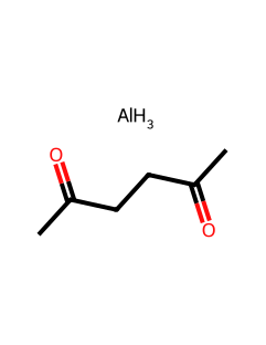 CC(=O)CCC(C)=O.[AlH3]